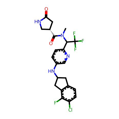 CN(C(=O)[C@@H]1CNC(=O)C1)C(c1ccc(NC2Cc3ccc(Cl)c(F)c3C2)cn1)C(F)(F)F